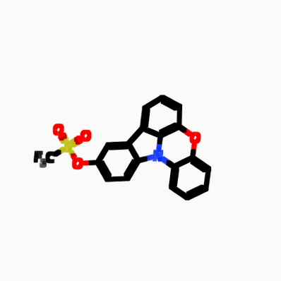 O=S(=O)(Oc1ccc2c(c1)c1cccc3c1n2-c1ccccc1O3)C(F)(F)F